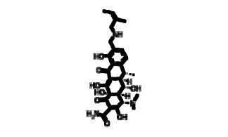 C/C=C(/C)CNCc1ccc2c(c1O)C(=O)C1=C(O)[C@]3(O)C(=O)C(C(N)=O)=C(O)[C@@H](N(C)C)[C@@H]3[C@@H](O)[C@@H]1[C@H]2C